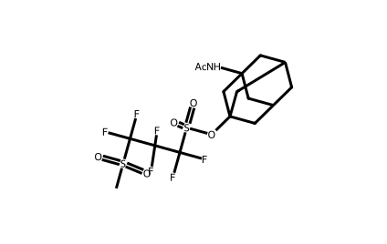 CC(=O)NC12CC3CC(C1)CC(OS(=O)(=O)C(F)(F)C(F)(F)C(F)(F)S(C)(=O)=O)(C3)C2